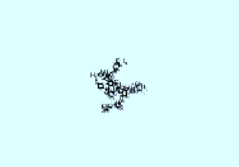 Cc1c(-c2c(-c3ccc(F)cc3)sc3ncnc(OC(Cc4cc(CC(=O)OC(C)(C)C)ccc4OCc4ccnc(OCCC(F)(F)F)n4)C(=O)O)c23)ccc(CN(CCN2CCN(C)CC2)C(=O)OC(C)(C)C)c1Cl